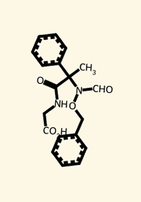 CC(C(=O)NCC(=O)O)(c1ccccc1)N(C=O)OCc1ccccc1